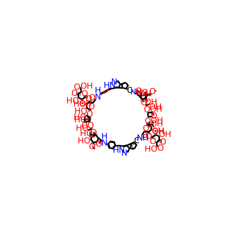 COCC(O)C(O)[C@@H]1OC(CO)OC(C(=O)O)C(CO)O[C@@H]2OC(C(=O)NCC3CC4CC3C3=C(NN=CC34)c3ccc(cc3)NC(=O)C3C[C@@H](OC)C(O)C(O)[C@@H]3OC(CO)OC(C(=O)O)[C@H](CO)OC3OC(C(=O)Nc4ccc(cc4)C4=C5C(C=NN4)C4CC(CNC(=O)C1O)C5C4)[C@@H](O[C@@H]1OC(C(=O)O)[C@@H](OC)C(O)C1O)C(O)C3O)[C@@H](O[C@@H]1OC(C(=O)O)[C@@H](OC)C(O)C1O)C(O)C2O